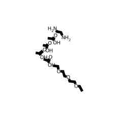 CC(=O)O.CC(=O)O.CC(=O)O.CC(=O)O.CCOCCOCCOCC.NCCN